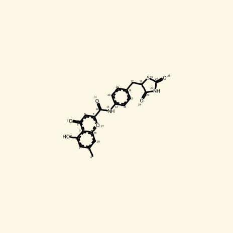 Cc1cc(O)c2c(=O)cc(C(=O)Nc3ccc(CC4SC(=O)NC4=O)cc3)oc2c1